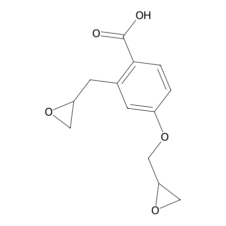 O=C(O)c1ccc(OCC2CO2)cc1CC1CO1